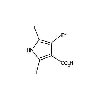 CC(C)c1c(I)[nH]c(I)c1C(=O)O